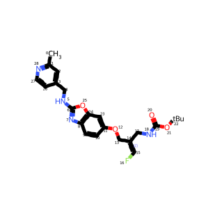 Cc1cc(CNc2nc3ccc(OC/C(=C\F)CNC(=O)OC(C)(C)C)cc3o2)ccn1